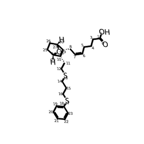 O=C(O)CCC/C=C\C[C@@H]1[C@H](CCSCCCSc2ccccc2)[C@@H]2CC[C@H]1O2